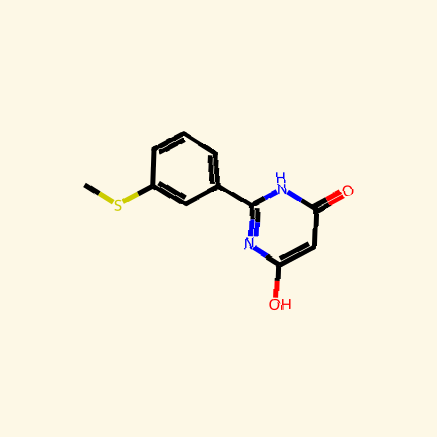 CSc1cccc(-c2nc(O)cc(=O)[nH]2)c1